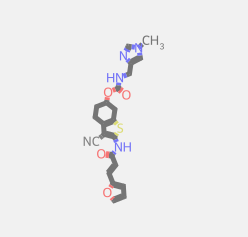 Cn1cnc(CNC(=O)OC2CCc3c(sc(NC(=O)C=Cc4ccco4)c3C#N)C2)c1